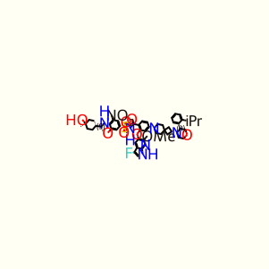 COc1nc2[nH]cc(F)c2cc1Oc1cc(N2CCC3(CC2)CC(N2CCOC[C@H]2c2ccccc2C(C)C)C3)ccc1C(=O)NS(=O)(=O)c1cc2c(c([N+](=O)[O-])c1)N[C@@H]([C@H]1CC[C@](C)(O)CC1)CO2